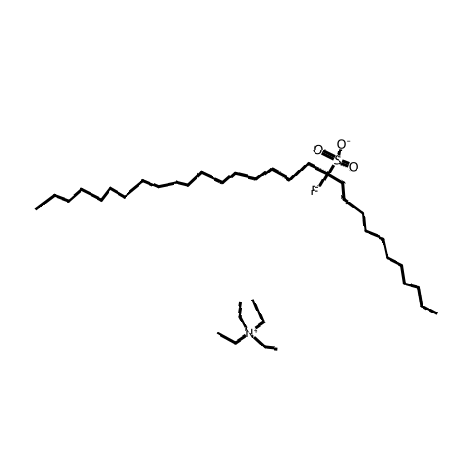 CCCCCCCCCCCCCCCCCCC(F)(CCCCCCCCCCC)S(=O)(=O)[O-].CC[N+](CC)(CC)CC